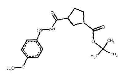 COc1ccc(NNC(=O)C2CCN(C(=O)OC(C)(C)C)C2)cc1